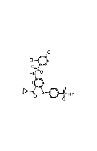 CC(C)S(=O)(=O)c1ccc(Sc2ccc(NS(=O)(=O)c3ccc(Cl)cc3Cl)nc2C(=O)C2CC2)cc1